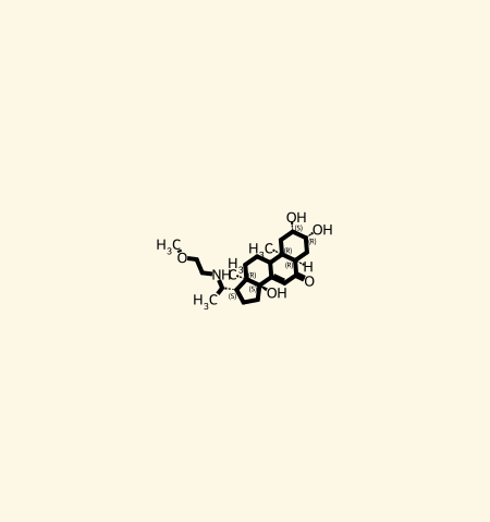 COCCNC(C)[C@H]1CC[C@@]2(O)C3=CC(=O)[C@@H]4C[C@@H](O)[C@@H](O)C[C@]4(C)C3CC[C@]12C